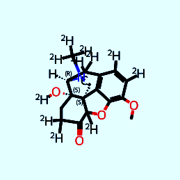 [2H]O[C@@]12CC([2H])([2H])C(=O)C3([2H])Oc4c(OC)c([2H])c([2H])c5c4[C@@]31CCN(C([2H])([2H])[2H])[C@@H]2C5([2H])[2H]